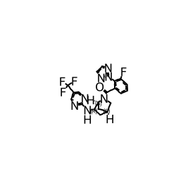 O=C(c1cccc(F)c1-n1nccn1)N1C[C@H]2C[C@@H](Nc3ncc(C(F)(F)F)cn3)[C@@H]1C2